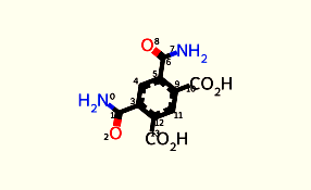 NC(=O)c1cc(C(N)=O)c(C(=O)O)cc1C(=O)O